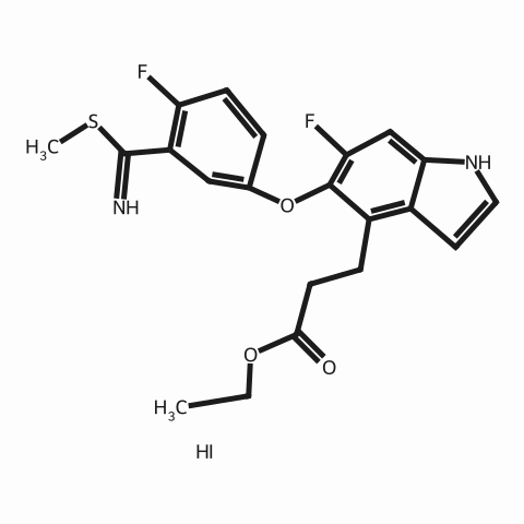 CCOC(=O)CCc1c(Oc2ccc(F)c(C(=N)SC)c2)c(F)cc2[nH]ccc12.I